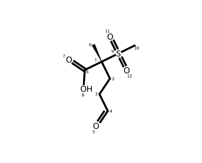 C[C@@](CCC=O)(C(=O)O)S(C)(=O)=O